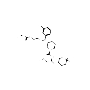 CNC[C@H](C[C@H]1CCC(C)(C)OC1)NC(=O)N1CCC[C@@H](C(OCCNC(=O)OC)c2cccc(Cl)c2)C1